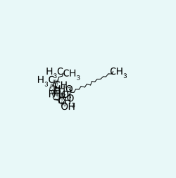 CCCCCCCCCCCCCCCCC(O)C(=O)OC1C[C@H](O)CC2=CC[C@H]3[C@@H]4CC[C@H]([C@H](C)CCCC(C)C)[C@@]4(C)CC[C@@H]3[C@]21C